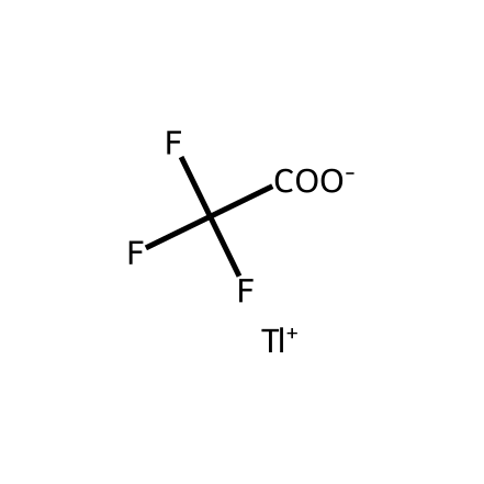 O=C([O-])C(F)(F)F.[Tl+]